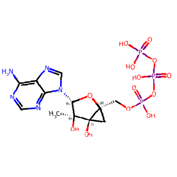 C[C@]1(O)[C@H](n2cnc3c(N)ncnc32)O[C@@]2(COP(=O)(O)OP(=O)(O)OP(=O)(O)O)C[C@@]21O